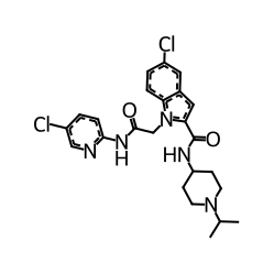 CC(C)N1CCC(NC(=O)c2cc3cc(Cl)ccc3n2CC(=O)Nc2ccc(Cl)cn2)CC1